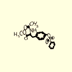 COC(=O)C(Cc1ccc(OS(=O)(=O)c2ccccc2)cc1)NC(C)=O